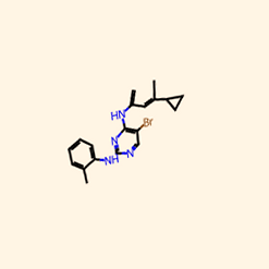 C=C(/C=C(\C)C1CC1)Nc1nc(Nc2ccccc2C)ncc1Br